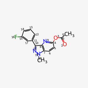 CC(=O)Oc1ccc2c(n1)c(-c1cccc(F)c1)nn2C